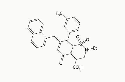 CCN1CC(C(=O)O)n2c(c(-c3cccc(C(F)(F)F)c3)c(Cc3cccc4ccccc34)cc2=O)S1(=O)=O